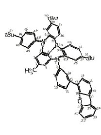 Cc1cc2c3c(c1)N(c1cccc(-c4cccc5c4oc4ccccc45)c1)c1cc(C(C)(C)C)ccc1B3c1ccc(C(C)(C)C)cc1N2c1ccc(C(C)(C)C)cc1